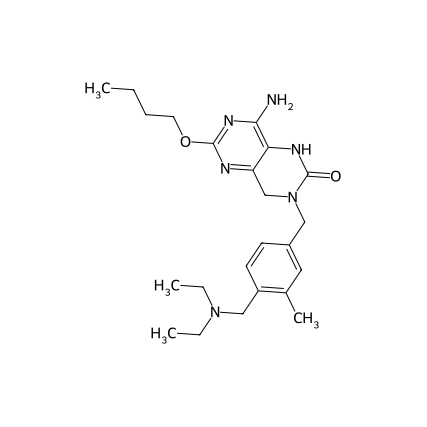 CCCCOc1nc(N)c2c(n1)CN(Cc1ccc(CN(CC)CC)c(C)c1)C(=O)N2